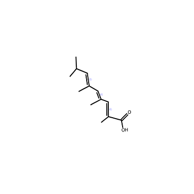 CC(=C\C(C)=C\C(C)C)/C=C(\C)C(=O)O